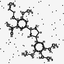 C=CCOc1c(OC)cc(C2SCC(c3cc(OC)c(OC)c(OC)c3)S2)cc1[N+](=O)[O-]